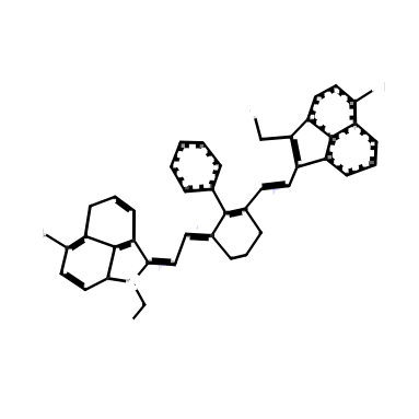 CCC1=C(/C=C/C2=C(c3ccccc3)C(=C/C=C3\C4=C5C(=C(Cl)C=CC5N3CC)CC=C4)/CCC2)c2cccc3c(Cl)ccc1c23